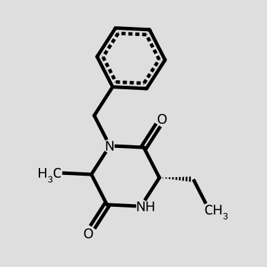 CC[C@@H]1NC(=O)C(C)N(Cc2ccccc2)C1=O